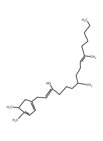 CCCCC/C(C)=C/CCC(C)CCC/C(O)=C/CC1=CC=C(C)C(C)C1